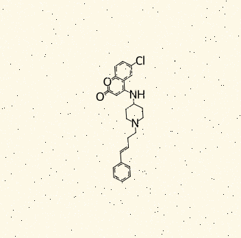 O=c1cc(NC2CCN(CCC=Cc3ccccc3)CC2)c2cc(Cl)ccc2o1